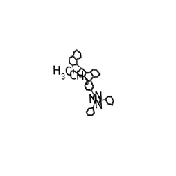 CC1(C)c2cc3c4ccc(-c5nc(-c6ccccc6)nc(-c6ccccc6)n5)cc4c4ccccc4c3cc2-c2c1ccc1ccccc21